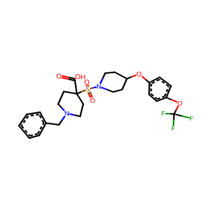 O=C(O)C1(S(=O)(=O)N2CCC(Oc3ccc(OC(F)(F)F)cc3)CC2)CCN(Cc2ccccc2)CC1